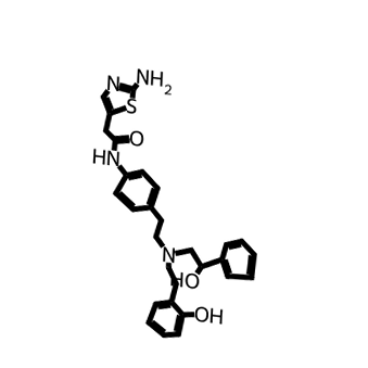 Nc1ncc(CC(=O)Nc2ccc(CCN(CCc3ccccc3O)CC(O)c3ccccc3)cc2)s1